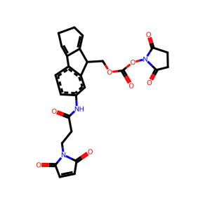 O=C(CCN1C(=O)C=CC1=O)Nc1ccc2c(c1)C(COC(=O)ON1C(=O)CCC1=O)C1=CCCC=C12